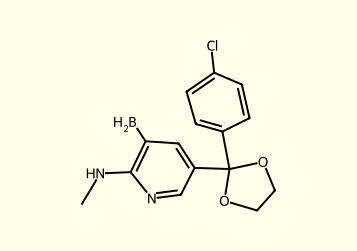 Bc1cc(C2(c3ccc(Cl)cc3)OCCO2)cnc1NC